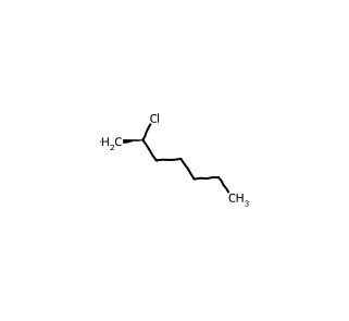 [CH2][C@@H](Cl)CCCCC